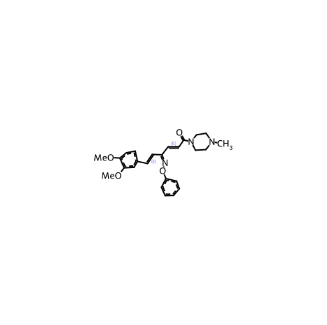 COc1ccc(/C=C/C(/C=C/C(=O)N2CCN(C)CC2)=NOc2ccccc2)cc1OC